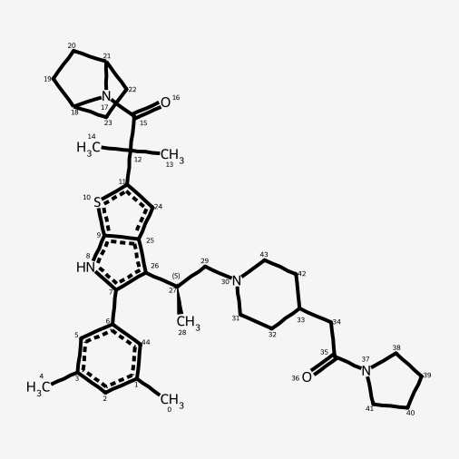 Cc1cc(C)cc(-c2[nH]c3sc(C(C)(C)C(=O)N4C5CCC4CC5)cc3c2[C@H](C)CN2CCC(CC(=O)N3CCCC3)CC2)c1